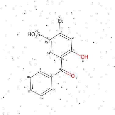 CCc1cc(O)c(C(=O)c2ccccc2)cc1S(=O)(=O)O